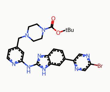 CC(C)(C)OC(=O)N1CCN(Cc2ccnc(Nc3nc4ccc(-c5cnc(Br)cn5)cc4[nH]3)c2)CC1